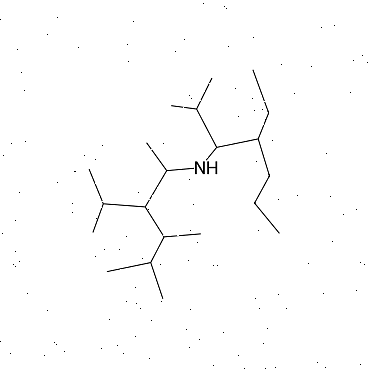 CCCC(CC)C(NC(C)C(C(C)C)C(C)C(C)C)C(C)C